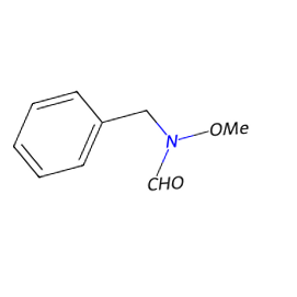 CON(C=O)Cc1ccccc1